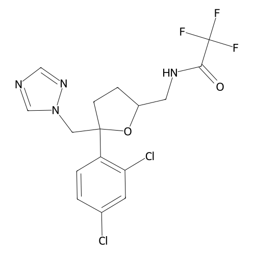 O=C(NCC1CCC(Cn2cncn2)(c2ccc(Cl)cc2Cl)O1)C(F)(F)F